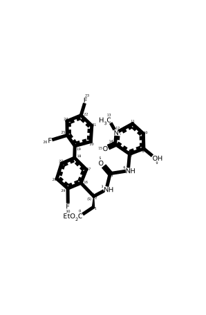 CCOC(=O)C[C@H](NC(=O)Nc1c(O)ccn(C)c1=O)c1cc(-c2ccc(F)cc2F)ccc1F